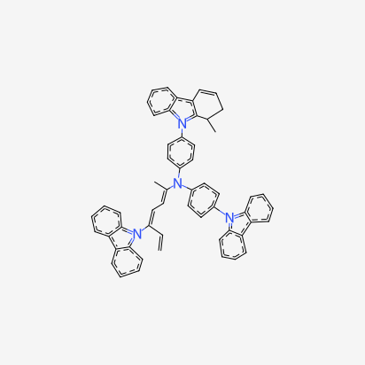 C=C/C(=C\C=C(/C)N(c1ccc(-n2c3c(c4ccccc42)C=CCC3C)cc1)c1ccc(-n2c3ccccc3c3ccccc32)cc1)n1c2ccccc2c2ccccc21